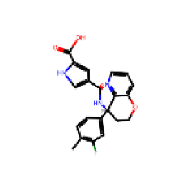 Cc1ccc([C@@]2(NC(=O)c3c[nH]c(C(=O)O)c3)CCOc3cccnc32)cc1F